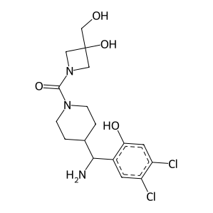 NC(c1cc(Cl)c(Cl)cc1O)C1CCN(C(=O)N2CC(O)(CO)C2)CC1